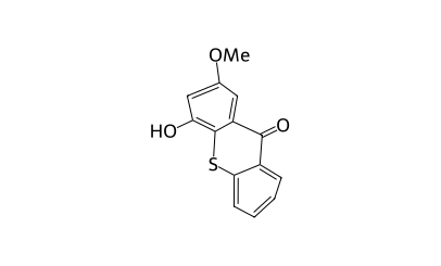 COc1cc(O)c2sc3ccccc3c(=O)c2c1